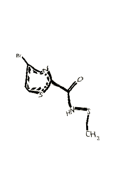 CSNC(=O)c1nc(Br)cs1